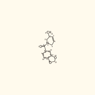 CC1C=CCN(C(=O)c2ccc3c(c2)OCO3)C1